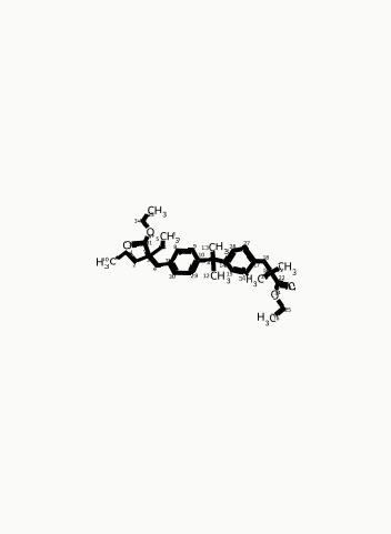 CCCC(CC)(Cc1ccc(C(C)(C)c2ccc(CC(C)(C)C(=O)OCC)cc2)cc1)C(=O)OCC